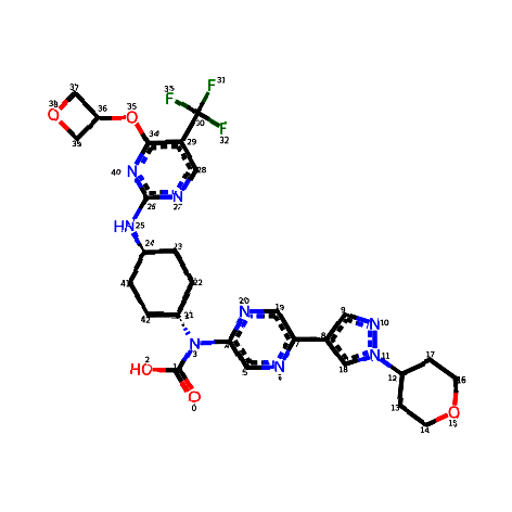 O=C(O)N(c1cnc(-c2cnn(C3CCOCC3)c2)cn1)[C@H]1CC[C@H](Nc2ncc(C(F)(F)F)c(OC3COC3)n2)CC1